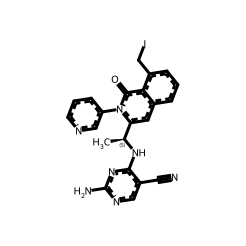 C[C@H](Nc1nc(N)ncc1C#N)c1cc2cccc(CI)c2c(=O)n1-c1cccnc1